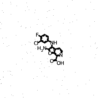 Nc1oc2c(C(=O)O)nccc2c1Nc1ccc(F)c(Cl)c1